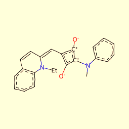 CCN1C(=Cc2c([O-])[c+](N(C)c3ccccc3)[c+]2[O-])C=Cc2ccccc21